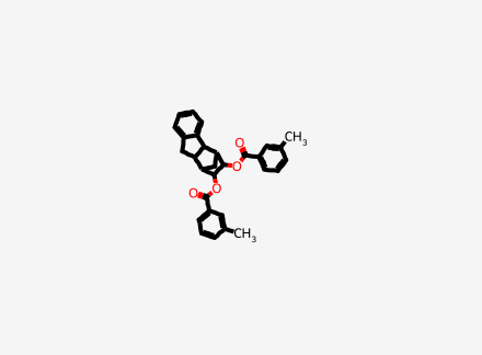 Cc1cccc(C(=O)OC2C3CC(C2OC(=O)c2cccc(C)c2)C2c4ccccc4CC32)c1